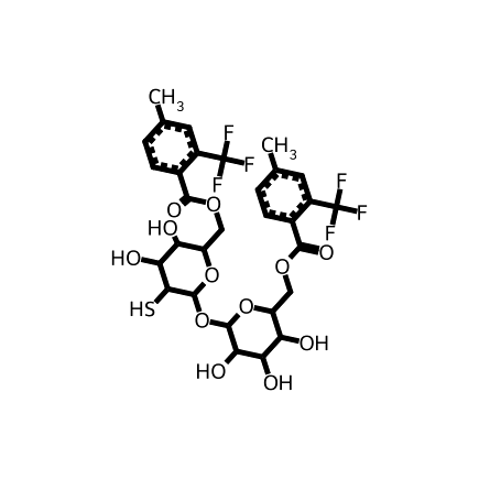 Cc1ccc(C(=O)OCC2OC(OC3OC(COC(=O)c4ccc(C)cc4C(F)(F)F)C(O)C(O)C3S)C(O)C(O)C2O)c(C(F)(F)F)c1